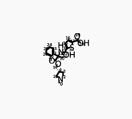 CN1CC[C@@H](COC(=O)C(CO)(NCc2ccc(C(=O)O)s2)c2ccccc2)C1